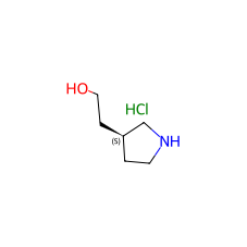 Cl.OCC[C@@H]1CCNC1